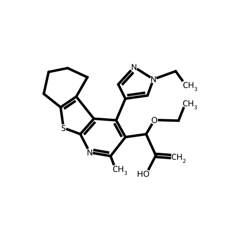 C=C(O)C(OCC)c1c(C)nc2sc3c(c2c1-c1cnn(CC)c1)CCCC3